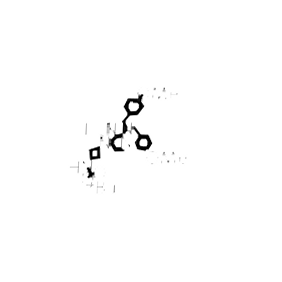 COc1ccc(CN(Cc2ccc(OC)cc2)c2nccc(N[C@H]3C[C@@H](NC(=O)OC(C)(C)C)C3)c2N)cc1